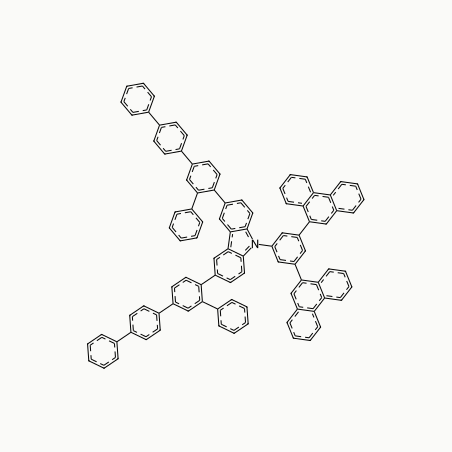 c1ccc(-c2ccc(-c3ccc(-c4ccc5c(c4)c4cc(-c6ccc(-c7ccc(-c8ccccc8)cc7)cc6-c6ccccc6)ccc4n5-c4cc(-c5cc6ccccc6c6ccccc56)cc(-c5cc6ccccc6c6ccccc56)c4)c(-c4ccccc4)c3)cc2)cc1